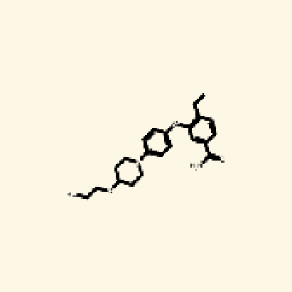 CCc1ccc(C(N)=O)cc1Oc1ccc(N2CCC(OCCO)CC2)cc1